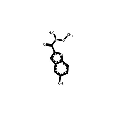 CON(C)C(=O)c1cc2cc(O)ccc2s1